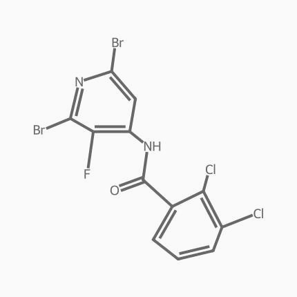 O=C(Nc1cc(Br)nc(Br)c1F)c1cccc(Cl)c1Cl